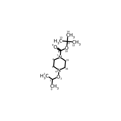 CC(C)ON1CCN(C(=O)OC(C)(C)C)CC1